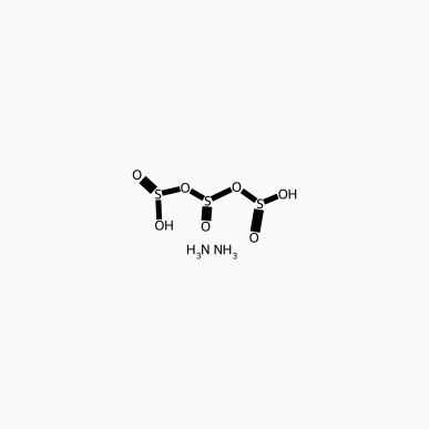 N.N.O=S(O)OS(=O)OS(=O)O